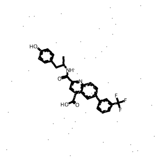 CC(Cc1ccc(O)cc1)NC(=O)c1cc(C(=O)O)c2cc(-c3cccc(C(F)(F)F)c3)ccc2n1